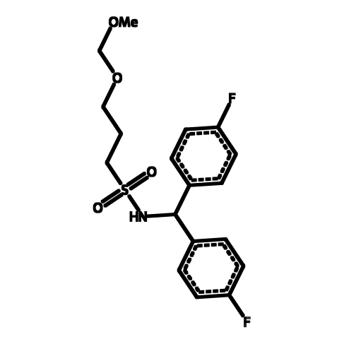 COCOCCCS(=O)(=O)NC(c1ccc(F)cc1)c1ccc(F)cc1